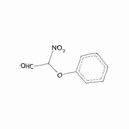 O=[C]C(Oc1ccccc1)[N+](=O)[O-]